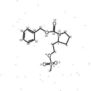 CS(=O)(=O)OCCC1CCCN1C(=O)OCc1ccccc1